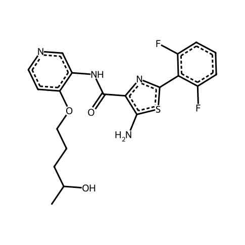 CC(O)CCCOc1ccncc1NC(=O)c1nc(-c2c(F)cccc2F)sc1N